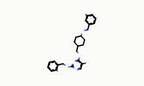 O=Nc1cnc(NCc2ccccc2O)nc1NCC1CCC(NCc2cccc(C(=O)O)c2)CC1